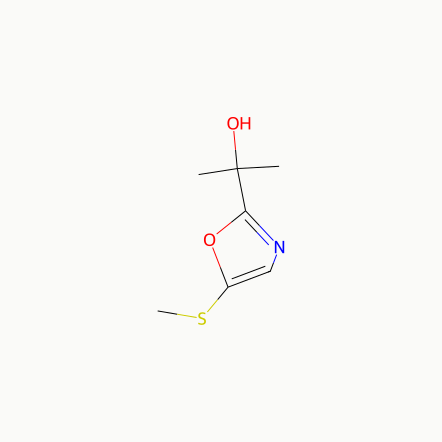 CSc1cnc(C(C)(C)O)o1